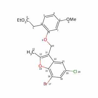 CCOC(=O)Cc1ccc(OC)cc1OCc1c(C)oc2c(Br)cc(Cl)cc12